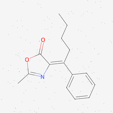 CCCCC(=C1N=C(C)OC1=O)c1ccccc1